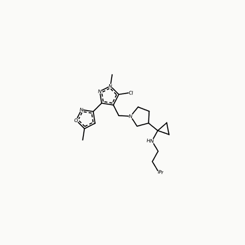 Cc1cc(-c2nn(C)c(Cl)c2CN2CCC(C3(NCCC(C)C)CC3)C2)no1